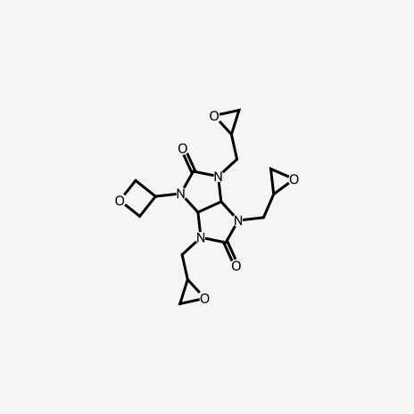 O=C1N(CC2CO2)C2C(N1CC1CO1)N(C1COC1)C(=O)N2CC1CO1